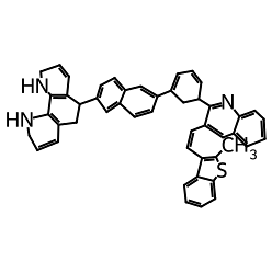 Cc1sc2ccccc2c1/C=C\c1cc2ccccc2nc1C1C=CC=C(c2ccc3cc(C4CC5=C(NCC=C5)C5=C4C=CCN5)ccc3c2)C1